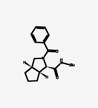 CC(C)(C)NC(=O)[C@@H]1[C@H]2CCC[C@H]2CN1C(=O)c1ccccc1